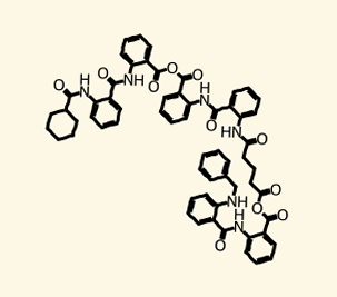 O=C(CCCC(=O)OC(=O)c1ccccc1NC(=O)c1ccccc1NCc1ccccc1)Nc1ccccc1C(=O)Nc1ccccc1C(=O)OC(=O)c1ccccc1NC(=O)c1ccccc1NC(=O)C1CCCCC1